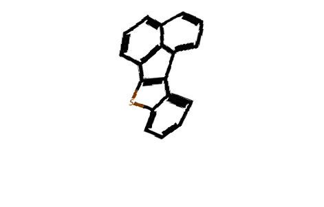 c1cc2c3c(cccc3c1)-c1c-2sc2ccccc12